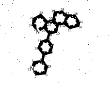 c1cncc(-c2ccc(-c3cc4c5ccccc5ccc4c4cccnc34)cc2)c1